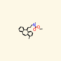 CCOC(=O)N(C)CCC=C1c2ccccc2C=Cc2c(C)cccc21